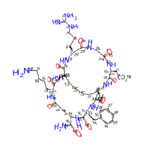 N=C(N)NCCC[C@@H]1NC(=O)[C@@H]2CSSC[C@H](NC(=O)[C@H](CC(=O)O)NC(=O)CNC1=O)C(=O)N[C@@H](Cc1ccccc1)C(=O)NC(C(N)=O)SCC(=O)N[C@@H](CCCCN)C(=O)N2